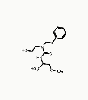 CC(C)(C)OCC(NC(=O)N(CCO)CCc1ccccc1)C(=O)O